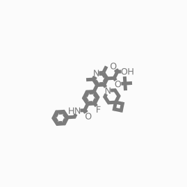 Cc1nc(C)c(C(OC(C)(C)C)C(=O)O)c(N2CCC3(CCC3)CC2)c1-c1ccc(C(=O)NCc2ccccc2)c(F)c1